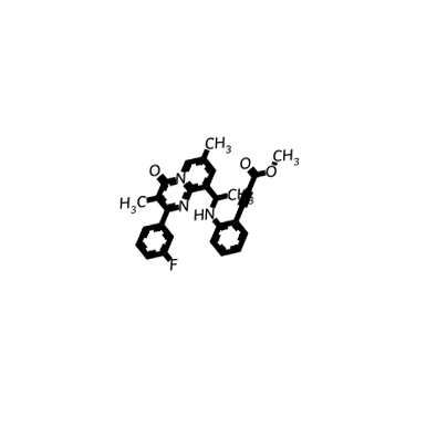 COC(=O)C#Cc1ccccc1NC(C)c1cc(C)cn2c(=O)c(C)c(-c3cccc(F)c3)nc12